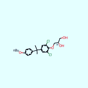 CCCCOc1ccc(C(C)(C)c2cc(Cl)c(OC[C@H](O)CO)c(Cl)c2)cc1